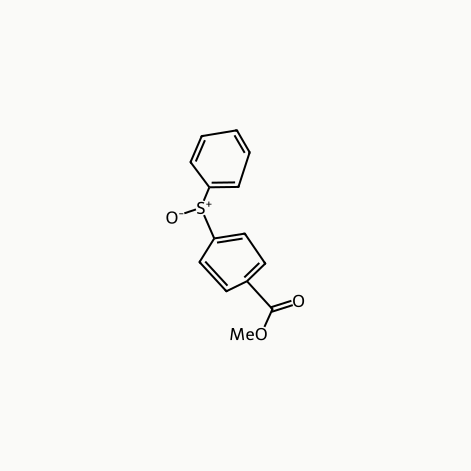 COC(=O)c1ccc([S+]([O-])c2ccccc2)cc1